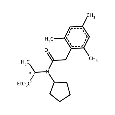 CCOC(=O)[C@H](C)N(C(=O)Cc1c(C)cc(C)cc1C)C1CCCC1